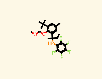 CCC(C)(Pc1c(F)c(F)c(F)c(F)c1F)c1cc(C)cc(C(C)(C)C)c1OCOC